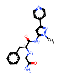 Cn1nc(-c2ccncc2)cc1NC(=O)[C@H](Cc1ccccc1)NCC(N)=O